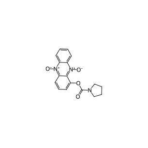 O=C(Oc1cccc2c1[n+]([O-])c1ccccc1[n+]2[O-])N1CCCC1